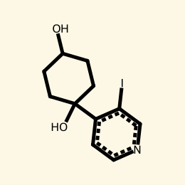 OC1CCC(O)(c2ccncc2I)CC1